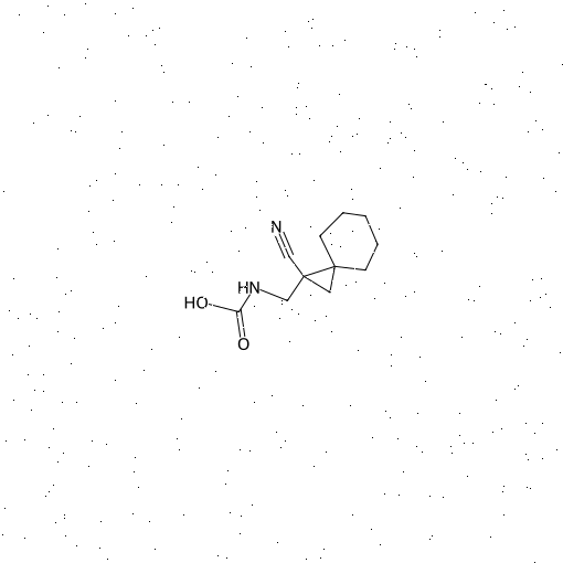 N#CC1(CNC(=O)O)CC12CCCCC2